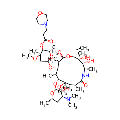 CC[C@H]1OC(=O)[C@H](C)[C@@H](O[C@H]2C[C@@](C)(OC)[C@@H](OC(=O)CCN3CCOCC3)[C@H](C)O2)[C@H](C)[C@@H](O[C@@H]2O[C@H](C)C[C@H](N(C)C)[C@H]2O)[C@](C)(OC)C[C@@H](C)C(=O)N[C@H](C)[C@@H](O)[C@]1(C)O